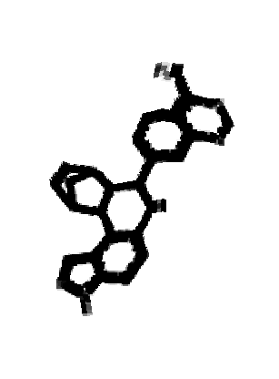 Nc1ncnc2cc(C3Nc4ccc5[nH]ncc5c4C4C5CCC(C5)C34)ccc12